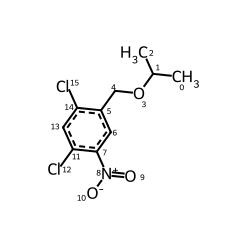 CC(C)OCc1cc([N+](=O)[O-])c(Cl)cc1Cl